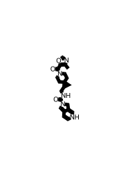 Cc1ncoc1C(=O)N1CCC2(CC1)CC2CNC(=O)N1C=C2C=CNC=C2C1